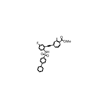 COC(=O)C1=C(C)C=C(C#Cc2cc(F)ccc2NS(=O)(=O)c2ccc(-c3ccccc3)cc2)C=C=C1